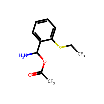 NC(OC(=O)C(F)(F)F)c1ccccc1SCC(F)(F)F